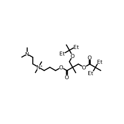 CCC(C)(CC)OCC(C)(COC(=O)C(C)(CC)CC)C(=O)OCCC[N+](C)(C)CCN(C)C